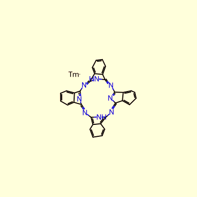 [Tm].c1ccc2c(c1)-c1nc-2nc2[nH]c(nc3nc(nc4[nH]c(n1)c1ccccc41)-c1ccccc1-3)c1ccccc21